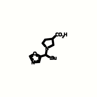 CC(C)(C)C(c1cnco1)N1CCC(C(=O)O)C1